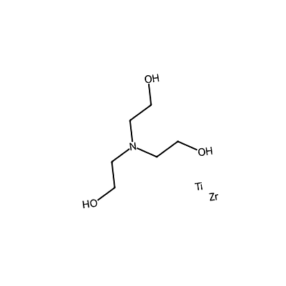 OCCN(CCO)CCO.[Ti].[Zr]